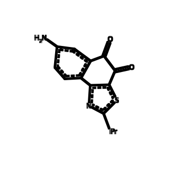 CC(C)c1nc2c(s1)C(=O)C(=O)c1cc(N)ccc1-2